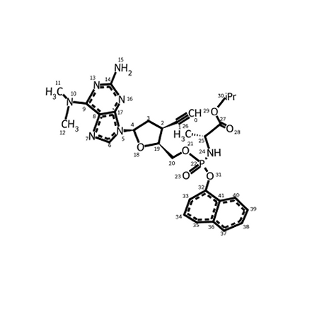 C#C[C@@H]1C[C@H](n2cnc3c(N(C)C)nc(N)nc32)O[C@@H]1CO[P@@](=O)(N[C@H](C)C(=O)OC(C)C)Oc1cccc2ccccc12